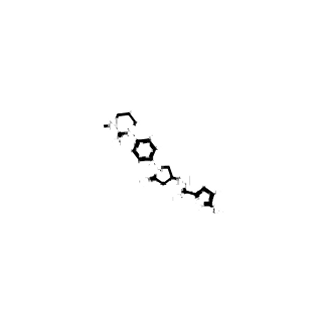 CN1CCCN(c2ccc(N3CC(NC(=O)c4ccc(Br)s4)CC3=O)cc2)C1=O